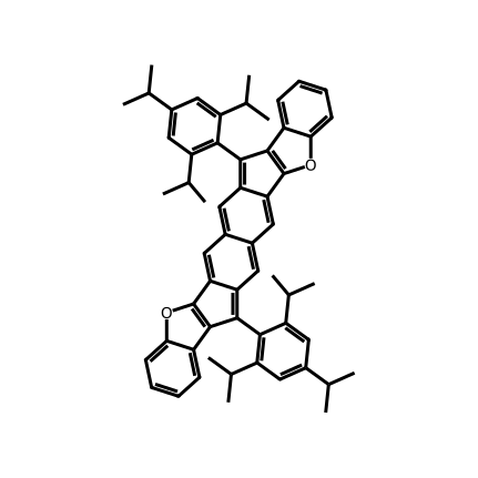 CC(C)c1cc(C(C)C)c(C2=c3cc4cc5c(cc4cc3-c3oc4ccccc4c32)=C(c2c(C(C)C)cc(C(C)C)cc2C(C)C)c2c-5oc3ccccc23)c(C(C)C)c1